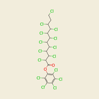 O=C(Oc1c(Cl)c(Cl)c(Cl)c(Cl)c1Cl)C(Cl)C(Cl)C(Cl)C(Cl)C(Cl)C(Cl)C(Cl)C(Cl)C(Cl)CCCl